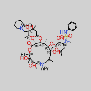 CCCN1C[C@H](C)C[C@@](C)(O)[C@H](O[C@@H]2O[C@H](C)C[C@H](N(C)S(=O)(=O)Nc3ccccc3)[C@H]2O)[C@@H](C)[C@H](O[C@H]2C[C@@](C)(OC)[C@](O)(CN3CCCCC3)[C@H](C)O2)[C@@H](C)C(=O)O[C@H](CC)[C@@](C)(O)[C@H](O)[C@H]1C